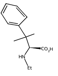 CCN[C@H](C(=O)O)C(C)(C)c1ccccc1